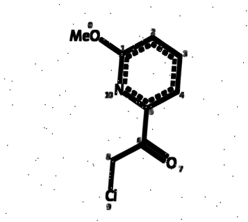 COc1cccc(C(=O)CCl)n1